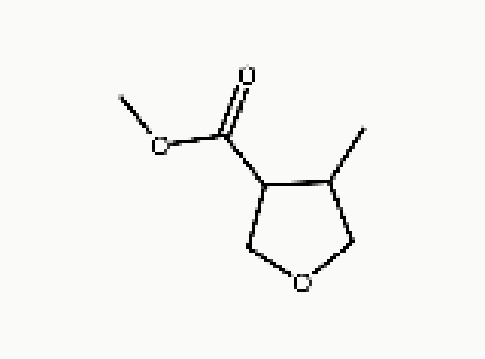 COC(=O)C1COCC1C